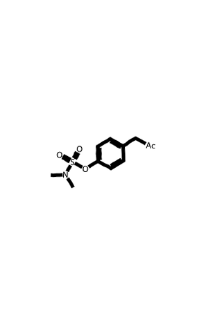 CC(=O)Cc1ccc(OS(=O)(=O)N(C)C)cc1